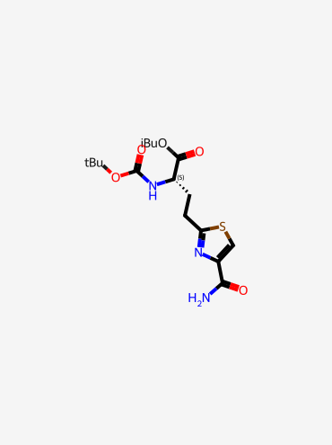 CC(C)COC(=O)[C@H](CCc1nc(C(N)=O)cs1)NC(=O)OC(C)(C)C